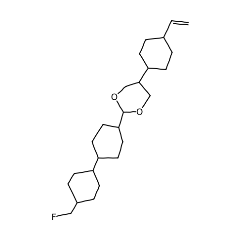 C=CC1CCC(C2COC(C3CCC(C4CCC(CF)CC4)CC3)OC2)CC1